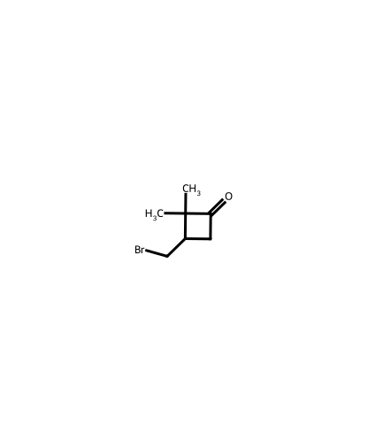 CC1(C)C(=O)CC1CBr